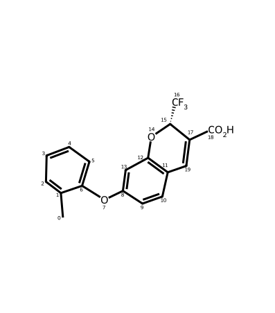 Cc1ccccc1Oc1ccc2c(c1)O[C@H](C(F)(F)F)C(C(=O)O)=C2